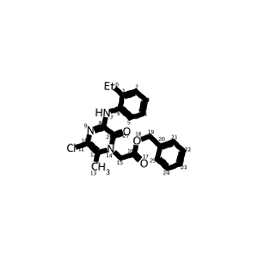 CCc1ccccc1Nc1nc(Cl)c(C)n(CC(=O)OCc2ccccc2)c1=O